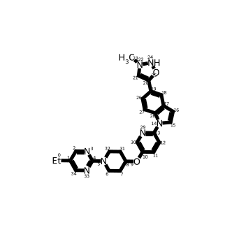 CCc1cnc(N2CCC(Oc3ccc(-n4ccc5cc(C6=CN(C)NO6)ccc54)nc3)CC2)nc1